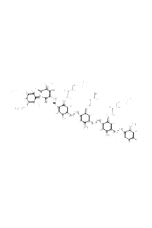 COc1cc(S(=O)(=O)O)c2nc3c(C#N)c(C)c(N=Nc4cc(C)c(N=Nc5cc(C)c(N=Nc6cc(C)c(N=Nc7ccc(Cl)cc7C#N)cc6SCCCS(=O)(=O)O)cc5SCCCS(=O)(=O)O)cc4OCCCS(=O)(=O)O)c(O)n3c2c1